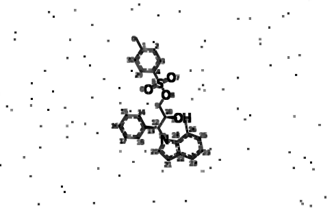 Cc1ccc(S(=O)(=O)OC[C@@H](O)[C@H](c2ccccc2)n2ccc3cccc(C)c32)cc1